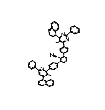 Cc1c(-c2cccc3ccccc23)cc(-c2ccccc2)nc1-c1ccc(-c2cccc(-c3ccc(-c4nc(-c5ccccc5)nc(-c5cccc6ccccc56)c4C)cc3)c2C#N)cc1